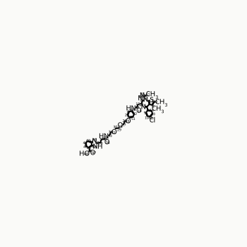 Cc1sc2c(c1C)C(c1ccc(Cl)cc1)=N[C@@H](CC(=O)Nc1ccc(OCCOCCOCCNC(=O)CCc3nc4cccc(C(=O)O)c4[nH]3)cc1)c1nnc(C)n1-2